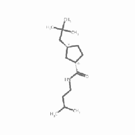 CC(C)CCNC(=O)[C@H]1CC[C@H](CC(C)(C)C)C1